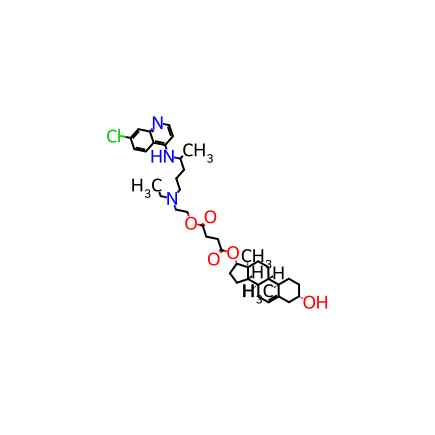 CCN(CCCC(C)Nc1ccnc2cc(Cl)ccc12)CCOC(=O)CCC(=O)O[C@H]1CC[C@H]2[C@@H]3CC=C4C[C@@H](O)CC[C@]4(C)[C@H]3CC[C@]12C